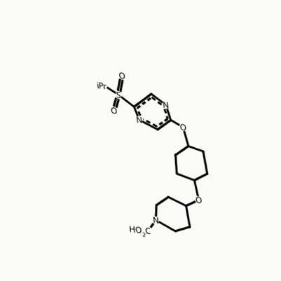 CC(C)S(=O)(=O)c1cnc(OC2CCC(OC3CCN(C(=O)O)CC3)CC2)cn1